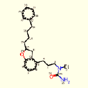 CCN(CCCc1cccc2c1CC(CCCCc1ccccc1)O2)C(N)=O